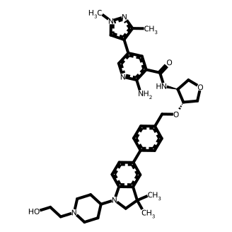 Cc1nn(C)cc1-c1cnc(N)c(C(=O)N[C@H]2COC[C@@H]2OCc2ccc(-c3ccc4c(c3)C(C)(C)CN4C3CCN(CCO)CC3)cc2)c1